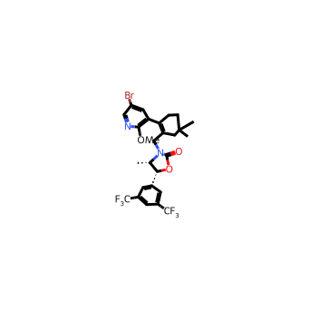 COc1ncc(Br)cc1C1=C(CN2C(=O)O[C@H](c3cc(C(F)(F)F)cc(C(F)(F)F)c3)[C@@H]2C)CC(C)(C)CC1